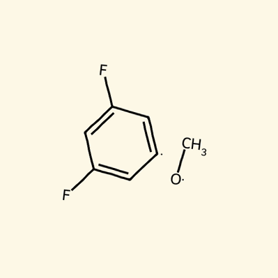 C[O].Fc1c[c]cc(F)c1